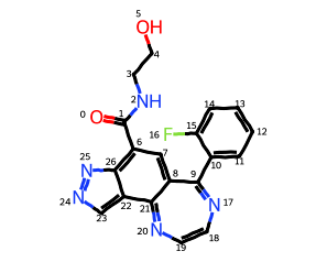 O=C(NCCO)c1cc2c(-c3ccccc3F)nccnc2c2cnnc12